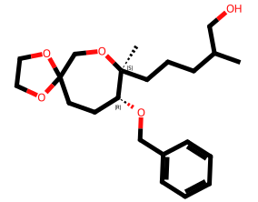 CC(CO)CCC[C@]1(C)OCC2(CC[C@H]1OCc1ccccc1)OCCO2